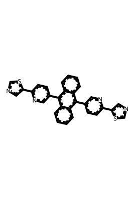 c1ccc2c(-c3ccc(-c4cncs4)nc3)c3ccccc3c(-c3ccc(-c4cncs4)nc3)c2c1